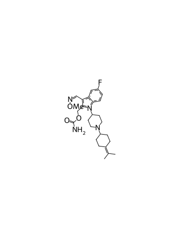 CO/N=C\c1c(COC(N)=O)n(C2CCN(C3CCC(=C(C)C)CC3)CC2)c2ccc(F)cc12